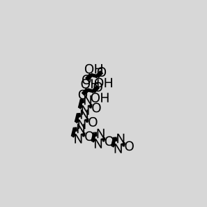 O=C(O)C(=O)O.O=C(O)C(=O)O.O=C1N=CC=N1.O=C1N=CC=N1.O=C1N=CC=N1.O=C1N=CC=N1.O=C1N=CC=N1